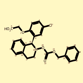 O=C(O)COc1ccc(Cl)cc1[C@@H]1c2ccccc2CCN1OC(=O)OCc1ccccc1